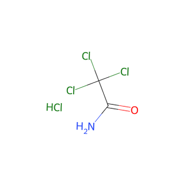 Cl.NC(=O)C(Cl)(Cl)Cl